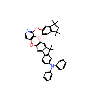 CC1(C)CC(C)(C)c2cc3c(cc21)Oc1nccc2c1B3c1cc3c(cc1O2)-c1ccc(N(c2ccccc2)c2ccccc2)cc1C3(C)C